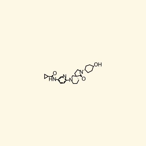 O=C(Nc1ccc(N2CCC[C@@]3(CCN([C@H]4CC[C@H](O)CC4)C3=O)C2)nc1)C1CC1